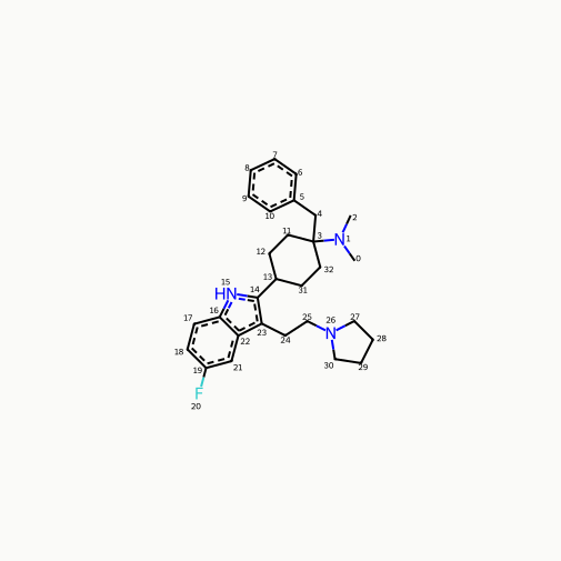 CN(C)C1(Cc2ccccc2)CCC(c2[nH]c3ccc(F)cc3c2CCN2CCCC2)CC1